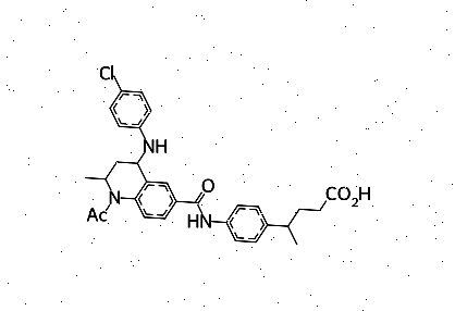 CC(=O)N1c2ccc(C(=O)Nc3ccc(C(C)CCC(=O)O)cc3)cc2C(Nc2ccc(Cl)cc2)CC1C